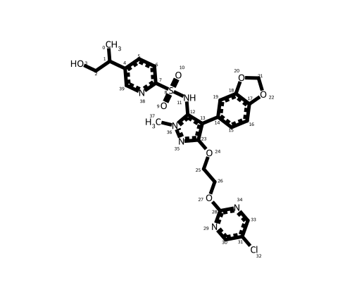 CC(CO)c1ccc(S(=O)(=O)Nc2c(-c3ccc4c(c3)OCO4)c(OCCOc3ncc(Cl)cn3)nn2C)nc1